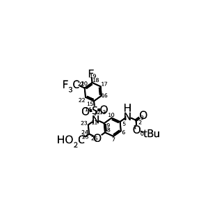 CC(C)(C)OC(=O)Nc1ccc2c(c1)N(S(=O)(=O)c1ccc(F)c(C(F)(F)F)c1)CC(C(=O)O)O2